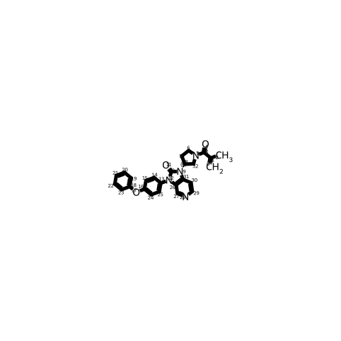 C=C(C)C(=O)N1CC[C@@H](n2c(=O)n(-c3ccc(Oc4ccccc4)cc3)c3cnccc32)C1